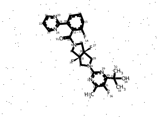 Cc1nc(N2C[C@]3(F)CN(C(=O)c4c(F)cccc4-c4ncccn4)C[C@]3(F)C2)nc(C(C)(C)O)c1F